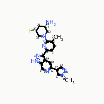 Cc1ccc(-c2n[nH]c3cnc(-c4cnn(C)c4)cc23)nc1N1C[C@@H](N)C[C@@H](F)C1